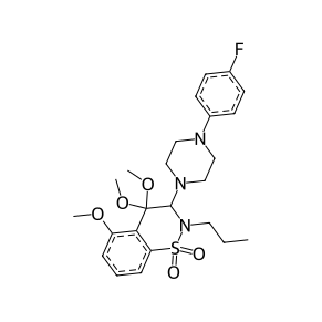 CCCN1C(N2CCN(c3ccc(F)cc3)CC2)C(OC)(OC)c2c(OC)cccc2S1(=O)=O